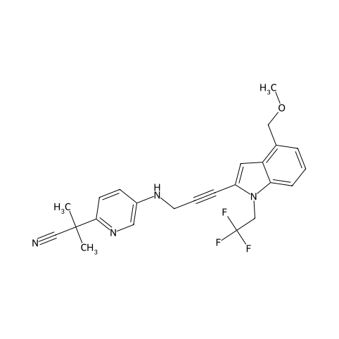 COCc1cccc2c1cc(C#CCNc1ccc(C(C)(C)C#N)nc1)n2CC(F)(F)F